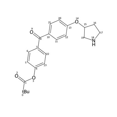 CC(C)(C)C(=O)Oc1ccc(C(=O)c2ccc(OC3CCNC3)cc2)cc1